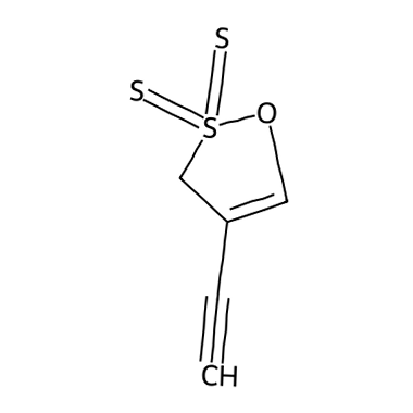 C#CC1=COS(=S)(=S)C1